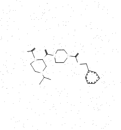 CC(C)N1CCN(C(=O)O)[C@@H](C(=O)N2CCN(C(=O)OCc3ccccc3)CC2)C1